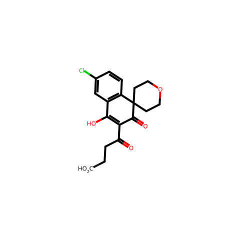 O=C(O)CCC(=O)C1=C(O)c2cc(Cl)ccc2C2(CCOCC2)C1=O